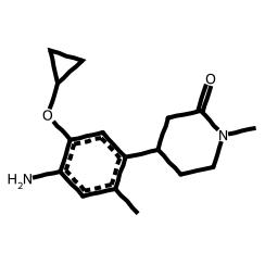 Cc1cc(N)c(OC2CC2)cc1C1CCN(C)C(=O)C1